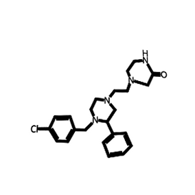 O=C1CN(CCN2CCN(Cc3ccc(Cl)cc3)C(c3ccccc3)C2)CCN1